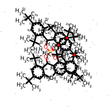 Cc1cc(C(C)(C)C)cc(C(C)(C)C)c1C(OP(=O)(OC(c1c(C)cc(C(C)(C)C)cc1C(C)(C)C)c1c(C)cc(C(C)(C)C)cc1C(C)(C)C)OC(c1c(C)cc(C(C)(C)C)cc1C(C)(C)C)c1c(C)cc(C(C)(C)C)cc1C(C)(C)C)c1c(C)cc(C(C)(C)C)cc1C(C)(C)C